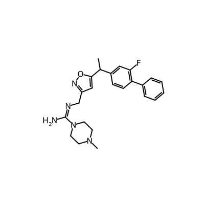 CC(c1ccc(-c2ccccc2)c(F)c1)c1cc(CN=C(N)N2CCN(C)CC2)no1